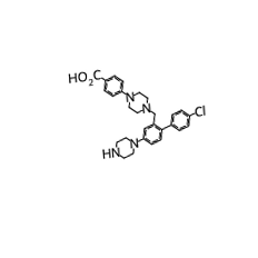 O=C(O)c1ccc(N2CCN(Cc3cc(N4CCNCC4)ccc3-c3ccc(Cl)cc3)CC2)cc1